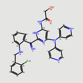 N=C(C1=NC(N(c2ccncc2)c2ccncc2)=CC(NC(=O)CO)N1)c1ccccc1NCc1ccccc1F